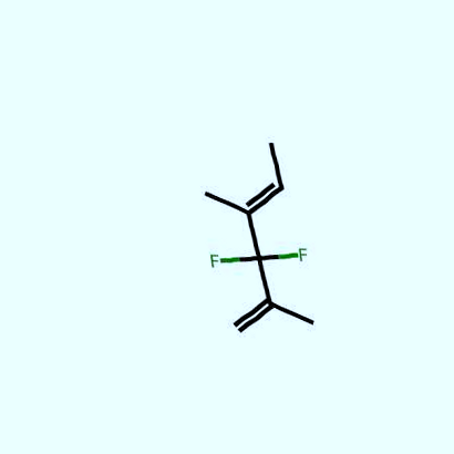 C=C(C)C(F)(F)/C(C)=C/C